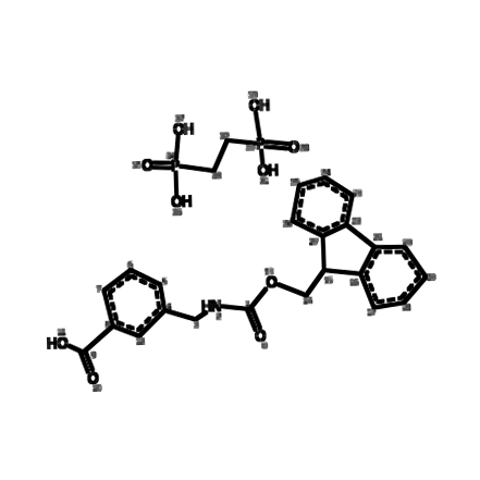 O=C(NCc1cccc(C(=O)O)c1)OCC1c2ccccc2-c2ccccc21.O=P(O)(O)CCP(=O)(O)O